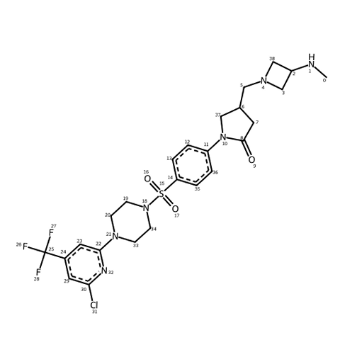 CNC1CN(CC2CC(=O)N(c3ccc(S(=O)(=O)N4CCN(c5cc(C(F)(F)F)cc(Cl)n5)CC4)cc3)C2)C1